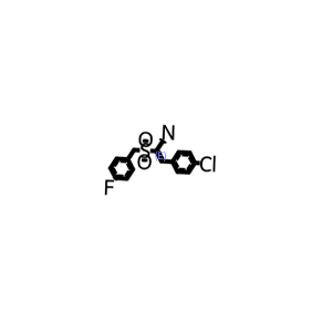 N#C/C(=C\c1ccc(Cl)cc1)S(=O)(=O)Cc1ccc(F)cc1